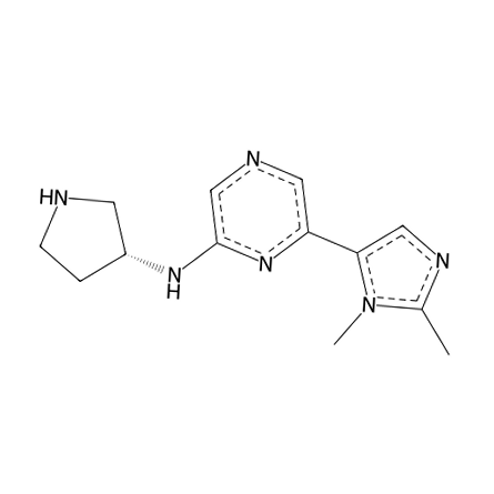 Cc1ncc(-c2cncc(N[C@@H]3CCNC3)n2)n1C